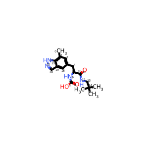 Cc1cc(CC(NC(=O)O)C(=O)NCC(C)(C)C)cc2cn[nH]c12